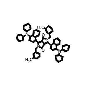 Cc1cccc(CN2C(=O)C3=C(c4ccc(N(c5ccccc5)c5ccccc5)c5ccccc45)N(Cc4cccc(C)c4)C(=O)C3=C2c2ccc(N(c3ccccc3)c3ccccc3)c3ccccc23)c1